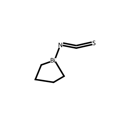 S=C=[N][Bi]1[CH2]CC[CH2]1